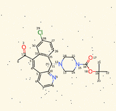 CC(=O)C1=Cc2cccnc2[C@@H](N2CCN(C(=O)OC(C)(C)C)CC2)c2ccc(Cl)cc21